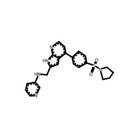 O=S(=O)(c1ccc(-c2ccnc3[nH]c(CNc4cccnc4)cc23)cc1)N1CCCC1